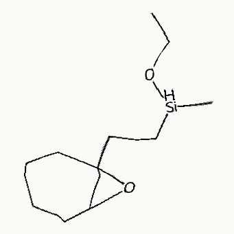 CCO[SiH](C)CCC12CCCCC1O2